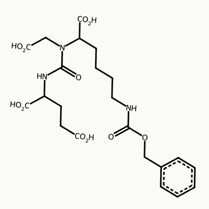 O=C(O)CCC(NC(=O)N(CC(=O)O)C(CCCCNC(=O)OCc1ccccc1)C(=O)O)C(=O)O